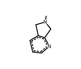 CN1Cc2cccnc2C1